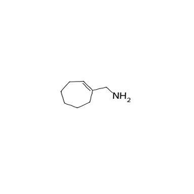 NCC1=CCCCCC1